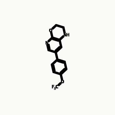 FC(F)(F)Oc1ccc(-c2cnc3c(c2)NCCO3)cc1